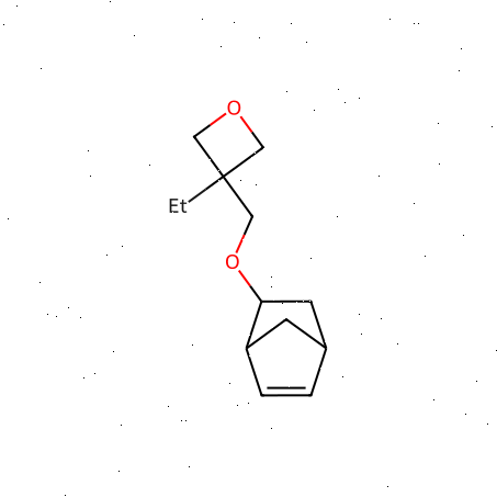 CCC1(COC2CC3C=CC2C3)COC1